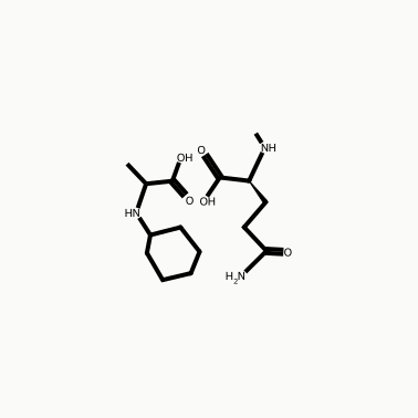 CC(NC1CCCCC1)C(=O)O.CN[C@@H](CCC(N)=O)C(=O)O